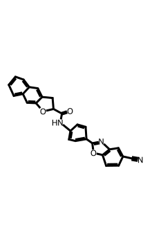 N#Cc1ccc2oc(-c3ccc(NC(=O)C4Cc5cc6ccccc6cc5O4)cc3)nc2c1